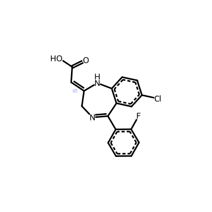 O=C(O)/C=C1/CN=C(c2ccccc2F)c2cc(Cl)ccc2N1